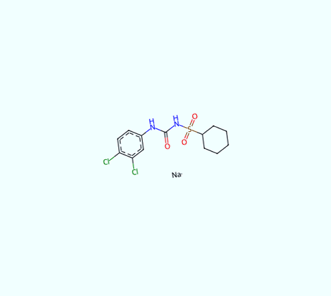 O=C(Nc1ccc(Cl)c(Cl)c1)NS(=O)(=O)C1CCCCC1.[Na]